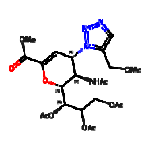 COCc1cnnn1[C@H]1C=C(C(=O)OC)O[C@@H]([C@H](OC(C)=O)C(COC(C)=O)OC(C)=O)[C@@H]1NC(C)=O